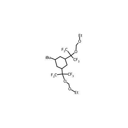 CCOCOC(C1CC(C(C)CC)CC(C(OCOCC)(C(F)(F)F)C(F)(F)F)C1)(C(F)(F)F)C(F)(F)F